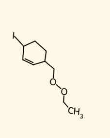 CCOOCC1C=CC(I)CC1